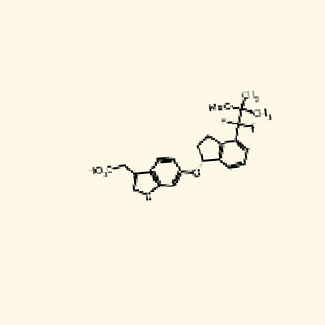 COC(C)(C)C(F)(F)c1cccc2c1CC[C@H]2Oc1ccc2c(c1)OCC2CC(=O)O